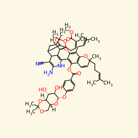 COC(=O)/C(C)=C\CC12OC(C)(C)[C@H]3CC(C1=O)C1C(C#N)=C(N)NC4=C1C32Oc1c(CC=C(C)C)c2c(c(OC(=O)c3ccc(O[C@@H]5O[C@@H]6COC(C)(C)O[C@H]6[C@H](O)[C@H]5O)cc3)c14)C=CC(C)(CCC=C(C)C)O2